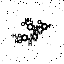 C[C@@H]1CC[C@@H](Nc2ncc3nc(Nc4c(F)cc(F)cc4Cl)n([C@H]4CC[C@@H](C(N)=O)CC4)c3n2)CC1O